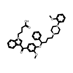 COc1cc(C(=O)c2cn(CCCC(=O)O)c3ccccc23)ccc1OC(CCCN1CCN(c2ccccc2OC)CC1)c1ccccc1